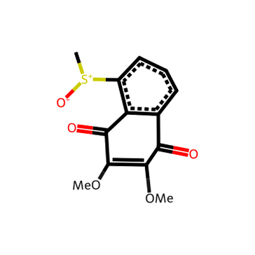 COC1=C(OC)C(=O)c2c(cccc2[S+](C)[O-])C1=O